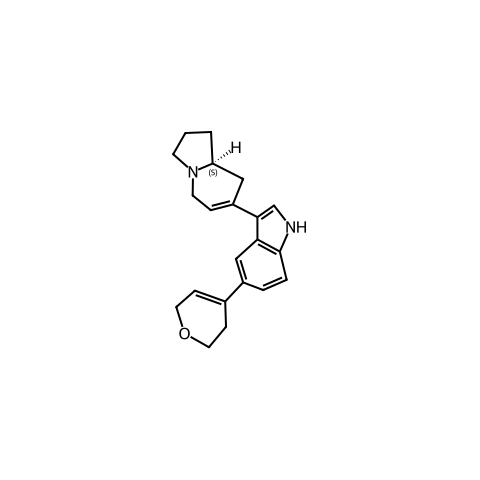 C1=C(c2ccc3[nH]cc(C4=CCN5CCC[C@H]5C4)c3c2)CCOC1